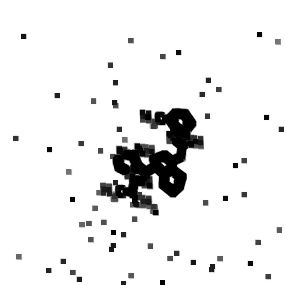 Cc1cccc2[nH]c(Cc3ccc(-c4nc(C(C)C)n5ccnc(N)c45)c4ccccc34)nc12